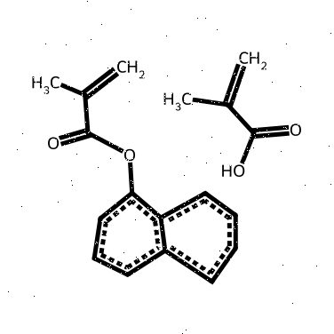 C=C(C)C(=O)O.C=C(C)C(=O)Oc1cccc2ccccc12